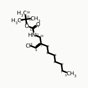 CCCCCCCC(=CCl)CNC(=O)OC(C)(C)C